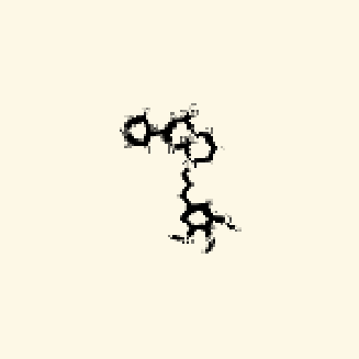 COc1cc(CCCN2CCCn3c2nc(-c2ccncc2)cc3=O)cc(OC)c1OC